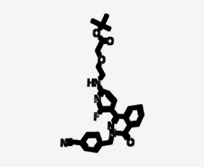 CC(C)(C)OC(=O)COCCNc1ccc(-c2nn(Cc3ccc(C#N)cc3)c(=O)c3ccccc23)c(F)n1